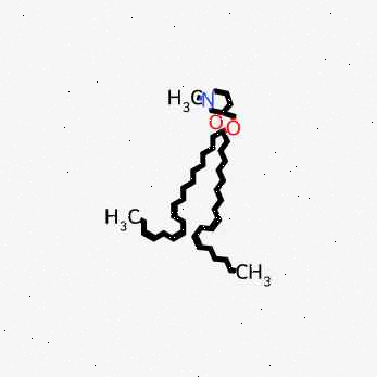 CC/C=C\C/C=C\C/C=C\CCCCCCCCC1(CCCCCCCC/C=C\C/C=C\CCCCC)OCC2(CCCN(C)C2)O1